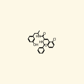 CC(Cc1cccc(O)c1)NC(=O)/C(=C/c1ccccc1Cl)NC(=O)c1ccccc1